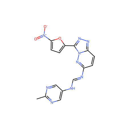 Cc1ncc(NC=Nc2ccc3nnc(-c4ccc([N+](=O)[O-])o4)n3n2)cn1